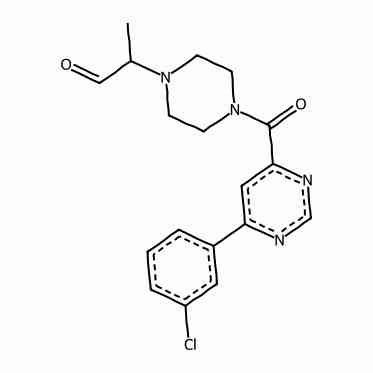 CC(C=O)N1CCN(C(=O)c2cc(-c3cccc(Cl)c3)ncn2)CC1